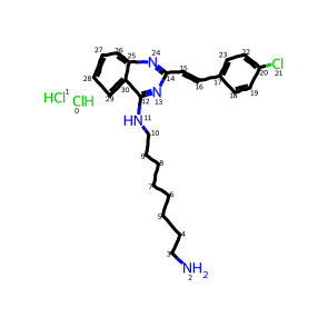 Cl.Cl.NCCCCCCCCNc1nc(C=Cc2ccc(Cl)cc2)nc2ccccc12